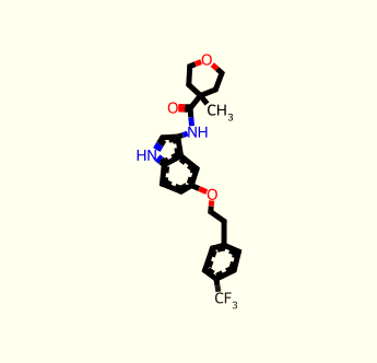 CC1(C(=O)Nc2c[nH]c3ccc(OCCc4ccc(C(F)(F)F)cc4)cc23)CCOCC1